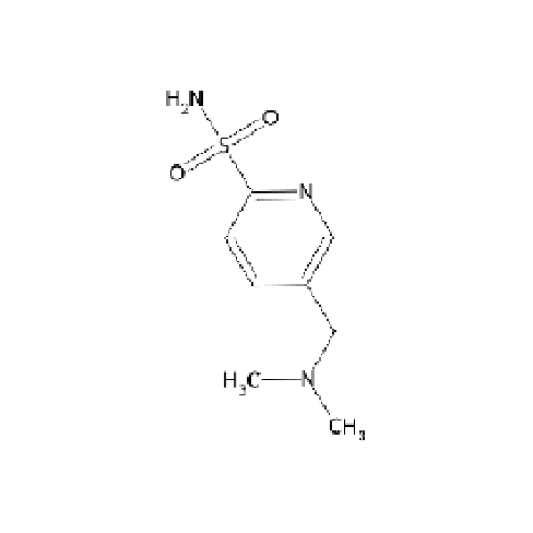 CN(C)Cc1ccc(S(N)(=O)=O)nc1